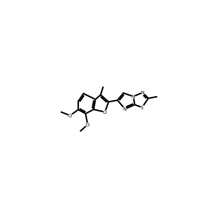 COc1ccc2c(C)c(-c3cn4nc(C)sc4n3)oc2c1OC